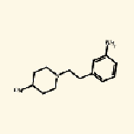 Nc1cccc(CCN2CCC(N=O)CC2)c1